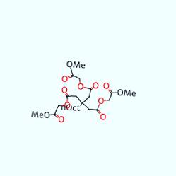 CCCCCCCCC(CC(=O)OCC(=O)OC)(CC(=O)OCC(=O)OC)CC(=O)OCC(=O)OC